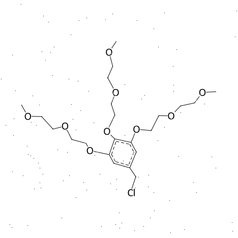 COCCOCCOc1cc(CCl)cc(OCCOCCOC)c1OCCOCCOC